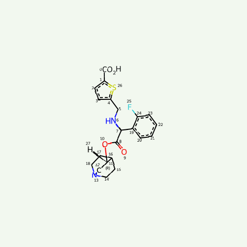 O=C(O)c1ccc(CNC(C(=O)O[C@H]2CN3CCC2CC3)c2ccccc2F)s1